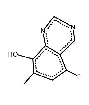 Oc1c(F)cc(F)c2cncnc12